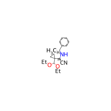 CCOC(OCC)C1([C@H](C#N)N[C@H](C)c2ccccc2)CC1